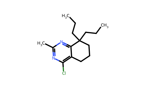 CCCC1(CCC)CCCc2c(Cl)nc(C)nc21